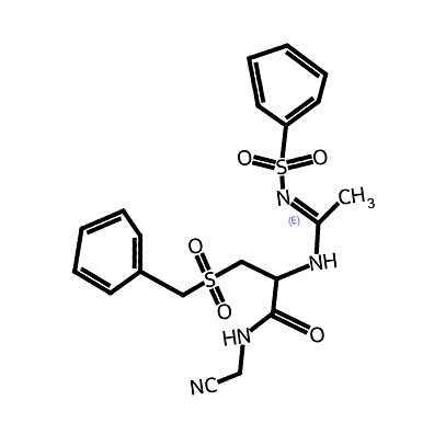 C/C(=N\S(=O)(=O)c1ccccc1)NC(CS(=O)(=O)Cc1ccccc1)C(=O)NCC#N